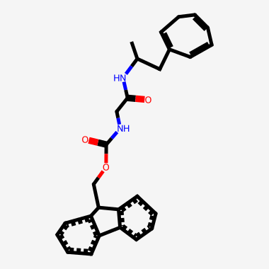 CC(CC1=CCC=CC=C1)NC(=O)CNC(=O)OCC1c2ccccc2-c2ccccc21